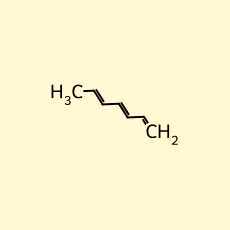 C=C/C=C/C=C/C